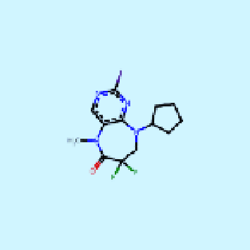 CN1C(=O)C(F)(F)CN(C2CCCC2)c2nc(I)ncc21